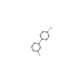 Cc1[c]ccc(-c2ccc(Cl)cc2)c1